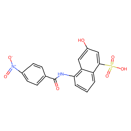 O=C(Nc1cccc2c(S(=O)(=O)O)cc(O)cc12)c1ccc([N+](=O)[O-])cc1